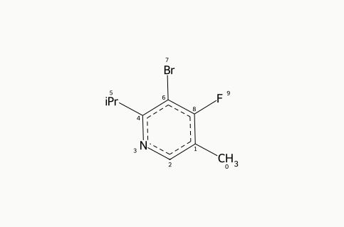 Cc1cnc(C(C)C)c(Br)c1F